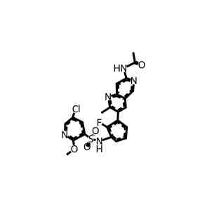 COc1ncc(Cl)cc1S(=O)(=O)Nc1cccc(-c2cc3cnc(NC(C)=O)cc3nc2C)c1F